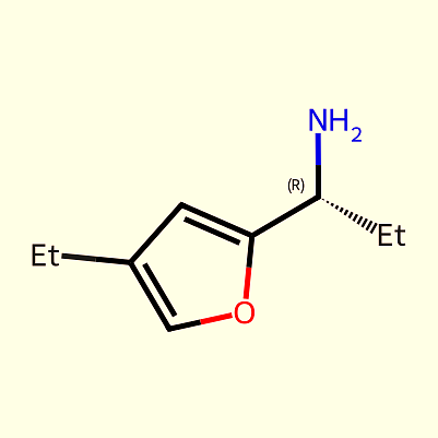 CCc1coc([C@H](N)CC)c1